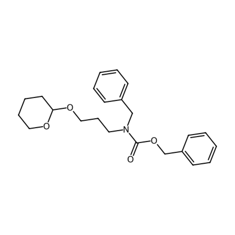 O=C(OCc1ccccc1)N(CCCOC1CCCCO1)Cc1ccccc1